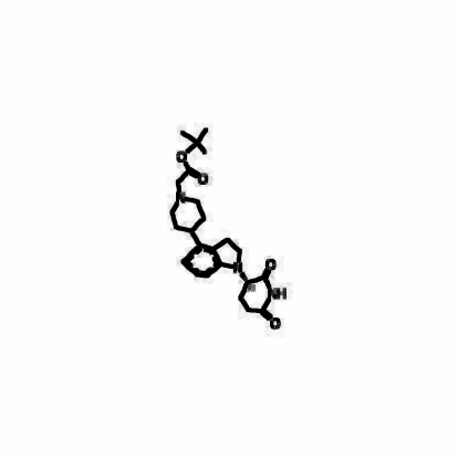 CC(C)(C)OC(=O)CN1CCC(c2cccc3c2CCN3[C@@H]2CCC(=O)NC2=O)CC1